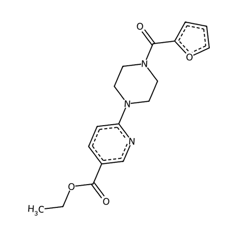 CCOC(=O)c1ccc(N2CCN(C(=O)c3ccco3)CC2)nc1